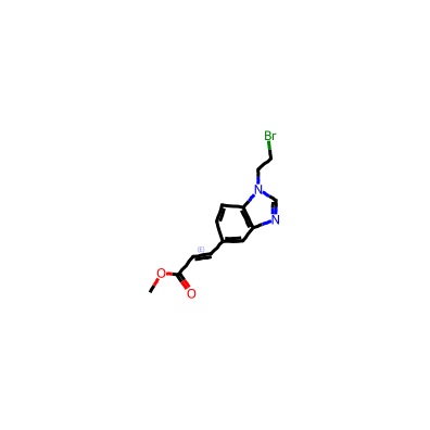 COC(=O)/C=C/c1ccc2c(c1)ncn2CCBr